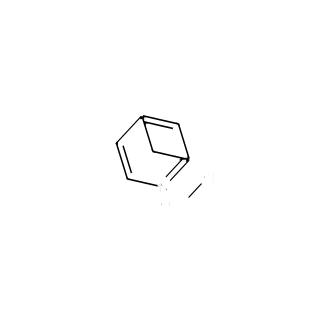 O=C(O)Cl.c1cc2cc(n1)C2